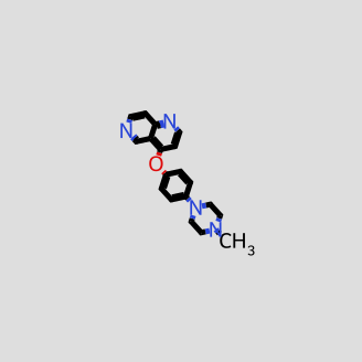 CN1CCN(c2ccc(Oc3ccnc4ccncc34)cc2)CC1